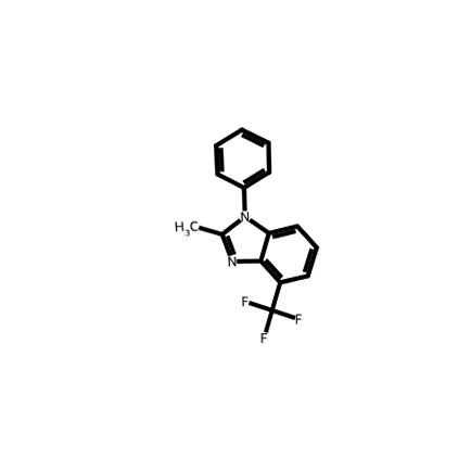 Cc1nc2c(C(F)(F)F)cccc2n1-c1ccccc1